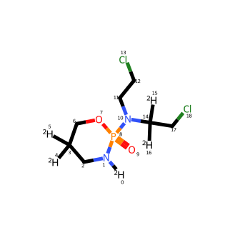 [2H]N1CC([2H])([2H])COP1(=O)N(CCCl)C([2H])([2H])CCl